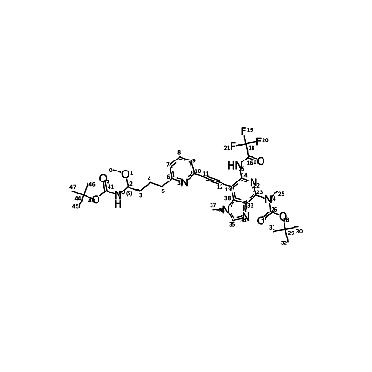 CO[C@@H](CCCc1cccc(C#Cc2c(NC(=O)C(F)(F)F)nc(N(C)C(=O)OC(C)(C)C)c3ncn(C)c23)n1)NC(=O)OC(C)(C)C